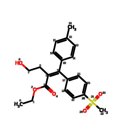 CCOC(=O)/C(CCO)=C(/c1ccc(C)cc1)c1ccc(S(C)(=O)=O)cc1